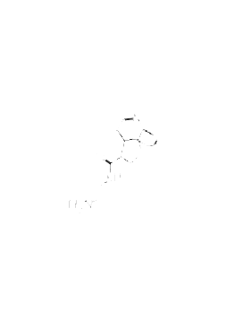 NCCNC(=O)C1CSC23CC=CC=C2N=CCC13